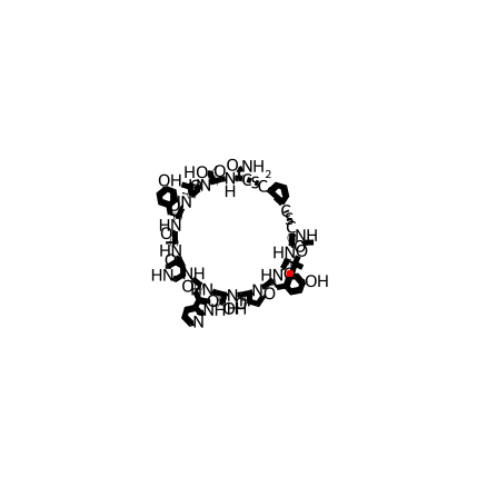 CC(=O)N[C@H]1CSCc2cccc(c2)CSC[C@H](C(N)=O)NC(=O)[C@H]([C@@H](C)O)NC(=O)[C@](C)(C(C)C)NC(=O)[C@H](Cc2ccc(O)cc2)NC(=O)[C@H](C)NC(=O)C2(CCNCC2)NC(=O)[C@H](Cc2c[nH]c3ncccc23)NC(=O)[C@H]([C@@H](C)O)NC(=O)[C@@H]2CCCN2C(=O)[C@H](Cc2ccc(O)cc2)NC(=O)[C@H](C(C)(C)C)NC1=O